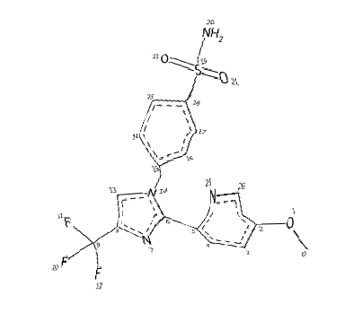 COc1ccc(-c2nc(C(F)(F)F)cn2-c2ccc(S(N)(=O)=O)cc2)nc1